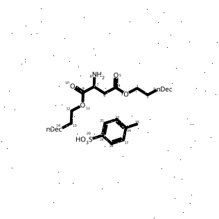 CCCCCCCCCCCCOC(=O)CC(N)C(=O)OCCCCCCCCCCCC.Cc1ccc(S(=O)(=O)O)cc1